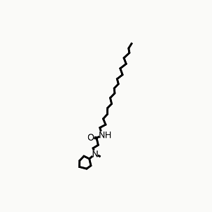 CCCCCCCCCCCCCCCCCCNC(=O)CCN(C)C1CCCCC1